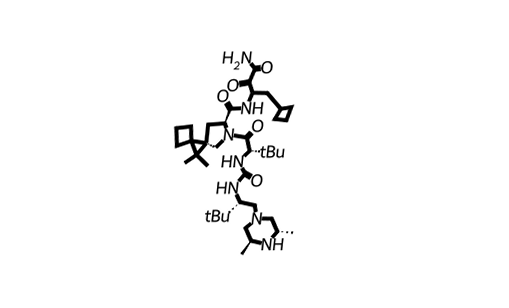 C[C@H]1CN(C[C@@H](NC(=O)N[C@H](C(=O)N2C[C@]3(C[C@H]2C(=O)NC(CC2CCC2)C(=O)C(N)=O)C(C)(C)C32CCC2)C(C)(C)C)C(C)(C)C)C[C@H](C)N1